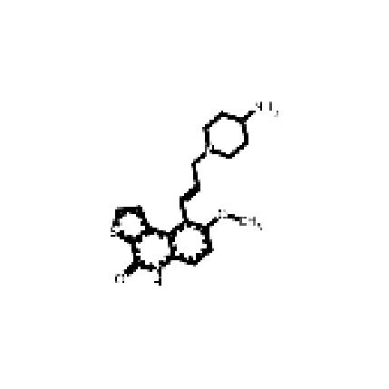 COc1ccc2[nH]c(=O)c3sccc3c2c1/C=C/CN1CCC(N)CC1